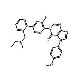 CCN(C)Cc1ccccc1-c1ccc(-n2cnc3ncn(-c4ccc(OC)cc4)c3c2=O)c(F)c1